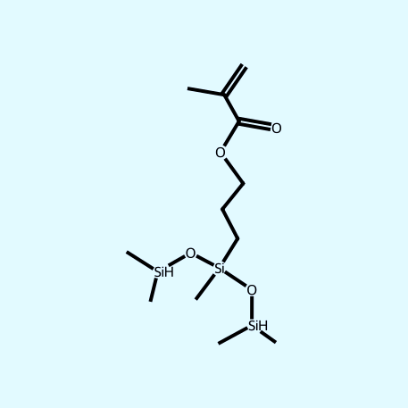 C=C(C)C(=O)OCCC[Si](C)(O[SiH](C)C)O[SiH](C)C